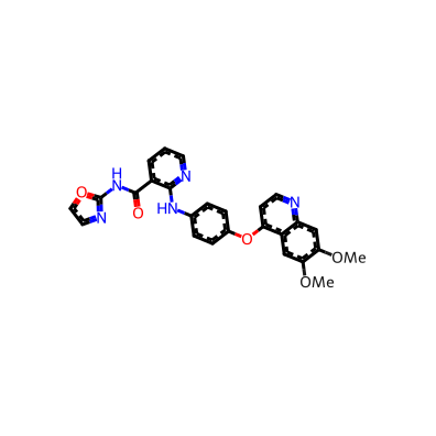 COc1cc2nccc(Oc3ccc(Nc4ncccc4C(=O)Nc4ncco4)cc3)c2cc1OC